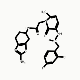 Cc1ccc(N[S+]([O-])Cc2ccc(F)cc2Cl)c(=O)n1CC(=O)NC1CCc2nc(N)sc2C1